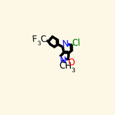 CN1Cc2c(cc(Cl)nc2C2=CCC(C(F)(F)F)CC2)C1=O